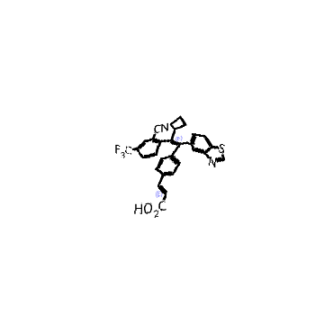 N#Cc1cc(C(F)(F)F)ccc1/C(=C(\c1ccc(/C=C/C(=O)O)cc1)c1ccc2scnc2c1)C1CCC1